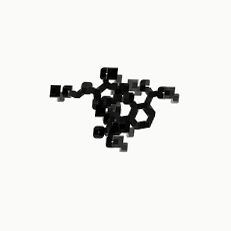 CCOC(=O)C(C)NP(=O)(COS(C)(=O)=O)Oc1c(C(C)C)cccc1C(C)C